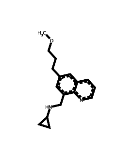 COCCCc1cc(CNC2CC2)c2ncccc2c1